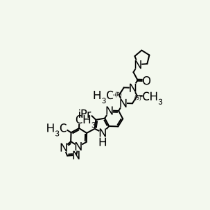 Cc1c(-c2[nH]c3ccc(N4C[C@H](C)N(C(=O)CN5CCCC5)C[C@H]4C)nc3c2C(C)C)cn2ncnc2c1C